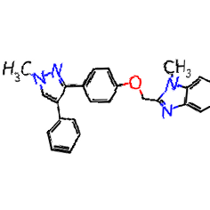 Cn1cc(-c2ccccc2)c(-c2ccc(OCc3nc4ccccc4n3C)cc2)n1